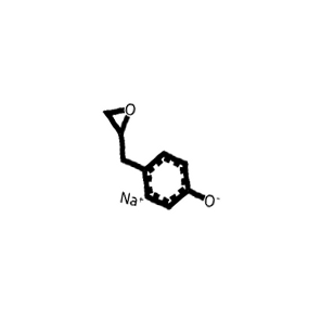 [Na+].[O-]c1ccc(CC2CO2)cc1